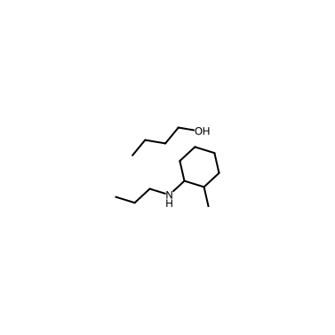 CCCCO.CCCNC1CCCCC1C